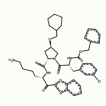 NCCCC[C@H](NC(=O)[C@@H]1C[C@@H](OCC2CCCCC2)CN1C(=O)[C@@H](Cc1cccc(Cl)c1)NC(=O)OCc1ccccc1)C(=O)c1nc2ccccc2o1